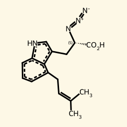 CC(C)=CCc1cccc2[nH]cc(C[C@H](N=[N+]=[N-])C(=O)O)c12